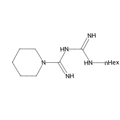 CCCCCCNC(=N)NC(=N)N1CCCCC1